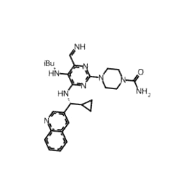 CC[C@@H](C)Nc1c(C=N)nc(N2CCN(C(N)=O)CC2)nc1N[C@@H](c1cnc2ccccc2c1)C1CC1